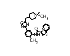 CSN1CCC(Cc2nc(-c3ccc(C)c(NC(=O)c4cnc5ccccn45)c3)no2)CC1